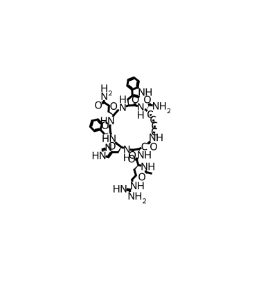 CC(=O)N[C@@H](CCCNC(=N)N)C(=O)N[C@H]1CC(=O)NCCCC[C@@H](C(N)=O)NC(=O)[C@H](Cc2c[nH]c3ccccc23)NC(=O)[C@H](CCC(N)=O)NC(=O)[C@@H](Cc2ccccc2)NC(=O)[C@H](Cc2c[nH]cn2)NC1=O